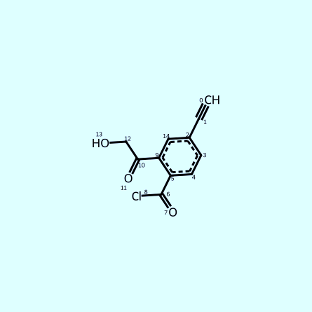 C#Cc1ccc(C(=O)Cl)c(C(=O)CO)c1